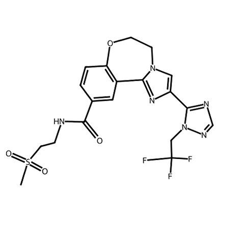 CS(=O)(=O)CCNC(=O)c1ccc2c(c1)-c1nc(-c3ncnn3CC(F)(F)F)cn1CCO2